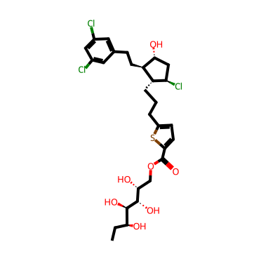 CC[C@H](O)[C@@H](O)[C@@H](O)[C@H](O)COC(=O)c1ccc(CCC[C@@H]2[C@@H](CCc3cc(Cl)cc(Cl)c3)[C@H](O)C[C@H]2Cl)s1